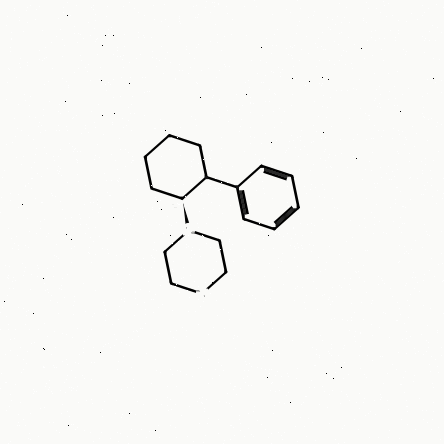 c1ccc(C2CCCC[C@@H]2N2CCNCC2)cc1